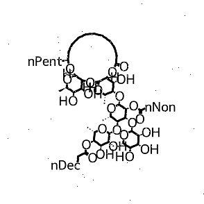 CCCCCCCCCCCC(=O)O[C@@H]1[C@@H](O)[C@@H](O)[C@H](O[C@@H]2[C@@H](O[C@@H]3O[C@@H](C)[C@H](O)[C@@H](O)[C@H]3O)[C@@H](OC(=O)CCCCCCCCC)[C@H](O[C@@H]3[C@@H](O)[C@H]4OC(=O)CCCCCCCCC[C@H](CCCCC)O[C@@H]5O[C@H](C)[C@H](O)[C@H](O)[C@H]5O[C@@H]4O[C@H]3C)O[C@H]2C)O[C@H]1C